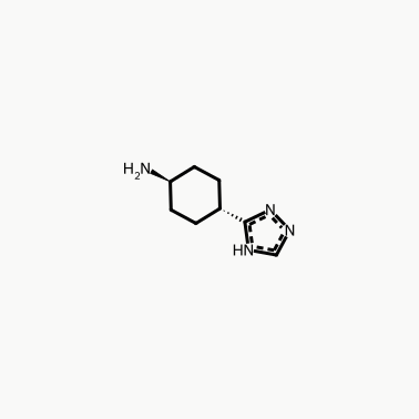 N[C@H]1CC[C@H](c2nnc[nH]2)CC1